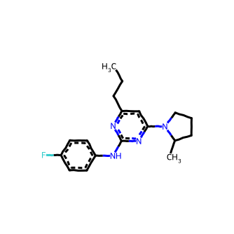 CCCc1cc(N2CCCC2C)nc(Nc2ccc(F)cc2)n1